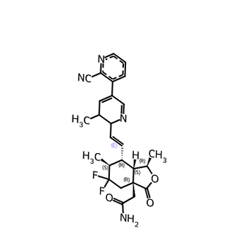 CC1C=C(c2cccnc2C#N)C=NC1/C=C/[C@@H]1[C@@H]2[C@@H](C)OC(=O)[C@]2(CC(N)=O)CC(F)(F)[C@H]1C